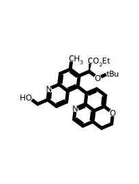 CCOC(=O)[C@@H](OC(C)(C)C)c1c(C)cc2nc(CO)ccc2c1-c1ccc2c3c(ccnc13)CCO2